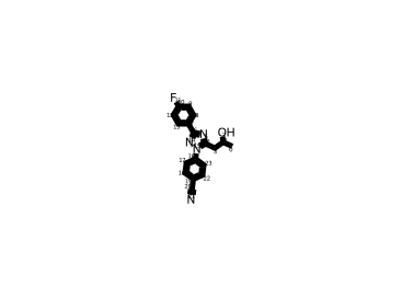 CC(O)Cc1nc(-c2ccc(F)cc2)nn1-c1ccc(C#N)cc1